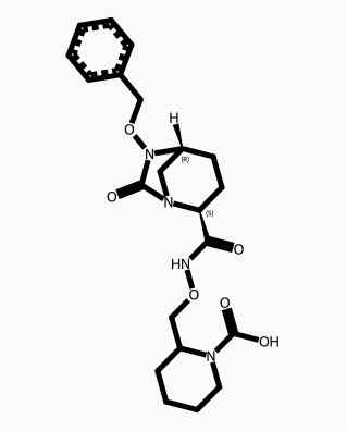 O=C(NOCC1CCCCN1C(=O)O)[C@@H]1CC[C@@H]2CN1C(=O)N2OCc1ccccc1